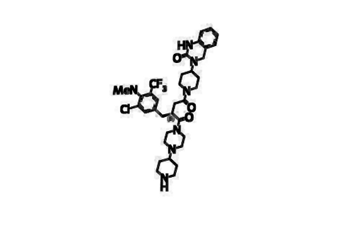 CNc1c(Cl)cc(C[C@@H](CC(=O)N2CCC(N3Cc4ccccc4NC3=O)CC2)C(=O)N2CCN(C3CCNCC3)CC2)cc1C(F)(F)F